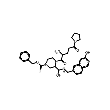 NC(CCC(=O)N1CCCC1)C(=O)N1CCN(C(=O)OCc2ccccc2)CC1C(O)NCc1ccc2cnc(O)cc2c1